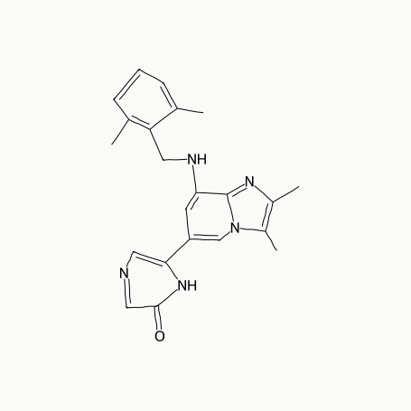 Cc1cccc(C)c1CNc1cc(-c2cncc(=O)[nH]2)cn2c(C)c(C)nc12